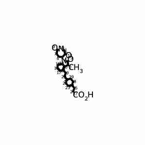 CC1C(=O)N(C2CCC(=O)N=CC2=O)c2cccc(CCC3CCC(CCC(=O)O)CC3)c21